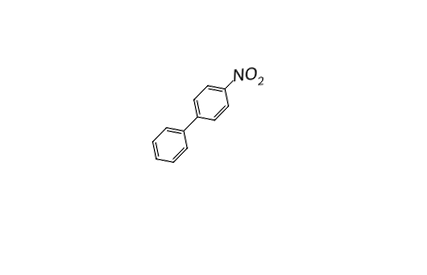 O=[N+]([O-])c1ccc(-c2ccccc2)cc1